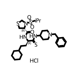 CC(C)S(=O)(=O)N1CSC[C@H]1C(=O)N[C@H](CCC1CCCCC1)C(=S)NC1CCN(Cc2ccccc2)CC1.Cl